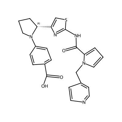 O=C(O)c1ccc(N2CCC[C@@H]2c2csc(NC(=O)c3cccn3Cc3ccncc3)n2)cc1